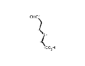 O=CCCSCC(=O)O